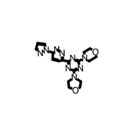 c1cnn(-c2ccc(-c3nc(N4CCOCC4)nc(N4CCOCC4)n3)nn2)c1